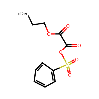 CCCCCCCCCCCCOC(=O)C(=O)OS(=O)(=O)c1ccccc1